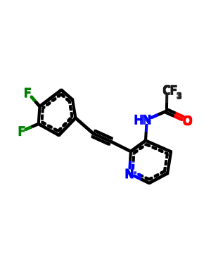 O=C(Nc1cccnc1C#Cc1ccc(F)c(F)c1)C(F)(F)F